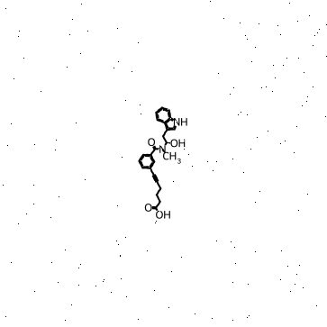 CN(C(=O)c1cccc(C#CCCCC(=O)O)c1)[C@H](O)Cc1c[nH]c2ccccc12